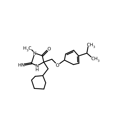 CC(C)C1=CCC(OCC2(CC3CCCCC3)NC(=N)N(C)C2=O)C=C1